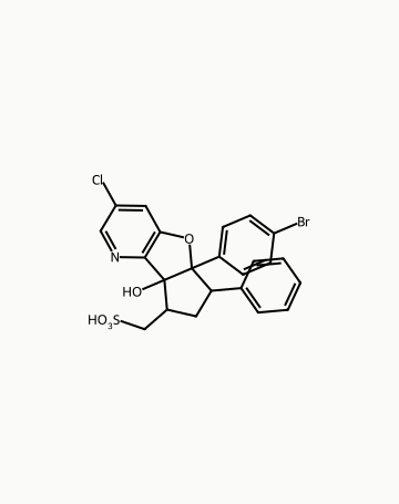 O=S(=O)(O)CC1CC(c2ccccc2)C2(c3ccc(Br)cc3)Oc3cc(Cl)cnc3C12O